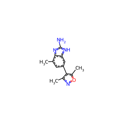 Cc1noc(C)c1-c1cc(C)c2nc(N)[nH]c2c1